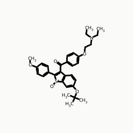 CCN(CC)CCOc1ccc(C(=O)c2c(-c3ccc(OC)cc3)[s+]([O-])c3cc(OC(C)(C)C)ccc23)cc1